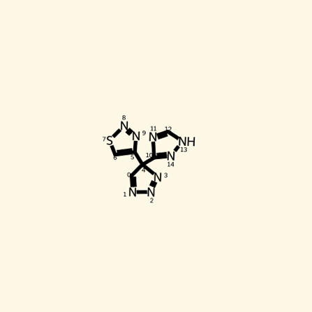 C1=NN=NC1(c1csnn1)c1nc[nH]n1